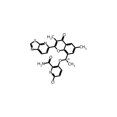 Cc1cc([C@@H](C)Oc2ccc(Cl)nc2C(N)=O)c2oc(-c3ccc4ncsc4n3)c(C)c(=O)c2c1